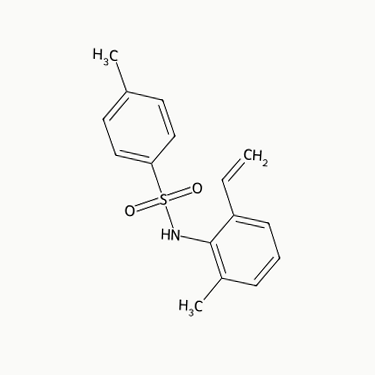 C=Cc1cccc(C)c1NS(=O)(=O)c1ccc(C)cc1